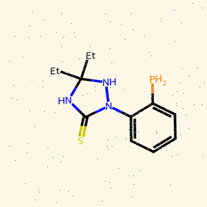 CCC1(CC)NC(=S)N(c2ccccc2P)N1